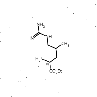 CCOC(=O)[C@H](N)CC(C)CNC(=N)N